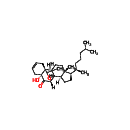 CC(C)CCC[C@@H](C)[C@H]1CC[C@H]2[C@@H]3[C@H]4O[C@H](C)[C@@]5(CC=CC[C@]5(O)C4=O)[C@H]3CC[C@]12C